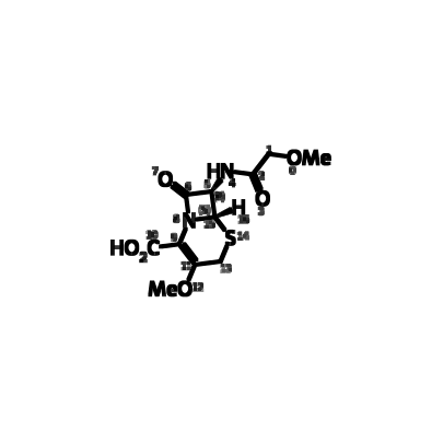 COCC(=O)N[C@@H]1C(=O)N2C(C(=O)O)=C(OC)CS[C@@H]12